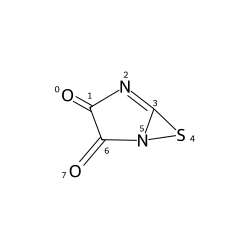 O=c1nc2sn-2c1=O